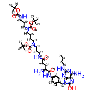 CCCCNc1nc(N)c2nc(O)n(Cc3ccc(NC(=O)[C@@H](N)CCC(=O)NCCCN(CCCCN(CCCNC(=O)OC(C)(C)C)C(=O)OC(C)(C)C)C(=O)OC(C)(C)C)cc3)c2n1